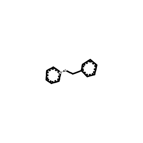 c1ccc(CS[n+]2ccccc2)cc1